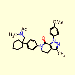 COc1ccc(-n2nc(C(F)(F)F)c3c2C(=O)N(c2ccc(C4(CN(C)C(C)=O)CCCCC4)cc2)CC3)cc1